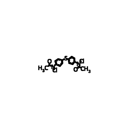 CC(=O)N(Cl)c1ccc(Sc2ccc(N(Cl)C(C)=O)cc2)cc1